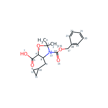 CC1(C)OC(C(=O)O)C(CC2CC2)N1C(=O)OCc1ccccc1